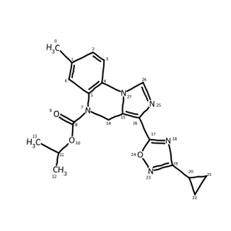 Cc1ccc2c(c1)N(C(=O)OC(C)C)Cc1c(-c3nc(C4CC4)no3)ncn1-2